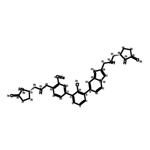 COc1nc(-c2cccc(-c3ccn4cc(CNC[C@@H]5CCC(=O)N5)nc4c3)c2Cl)ccc1CNC[C@@H]1CCC(=O)N1